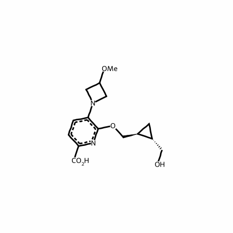 COC1CN(c2ccc(C(=O)O)nc2OC[C@H]2C[C@@H]2CO)C1